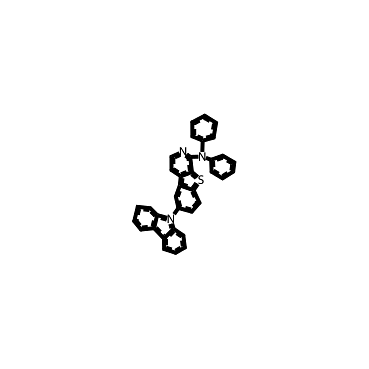 c1ccc(N(c2ccccc2)c2nccc3c2sc2ccc(-n4c5ccccc5c5ccccc54)cc23)cc1